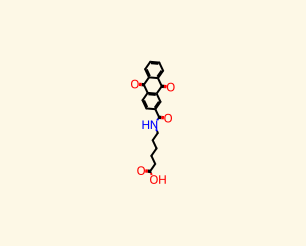 O=C(O)CCCCCNC(=O)c1ccc2c(c1)C(=O)c1ccccc1C2=O